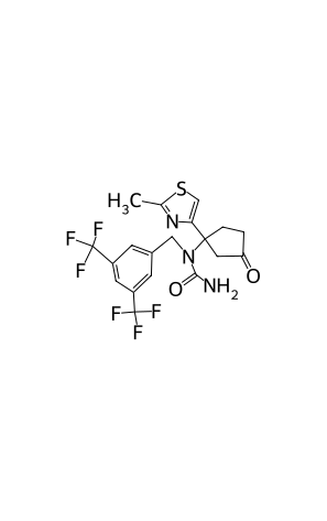 Cc1nc(C2(N(Cc3cc(C(F)(F)F)cc(C(F)(F)F)c3)C(N)=O)CCC(=O)C2)cs1